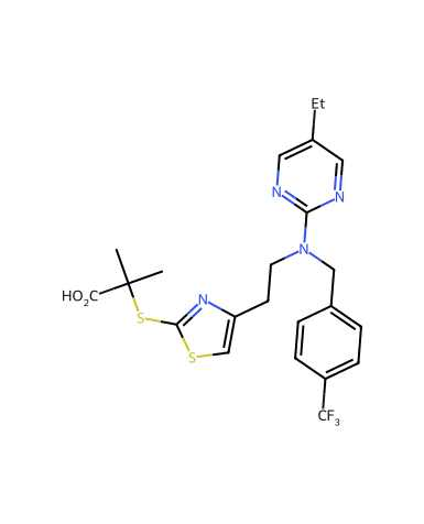 CCc1cnc(N(CCc2csc(SC(C)(C)C(=O)O)n2)Cc2ccc(C(F)(F)F)cc2)nc1